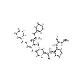 CC(C)(C)OC(=O)Nc1ccccc1NC(=O)c1ccc(CN(CCCN2CCOCC2)C(=O)NC(F)Cc2ccccc2)cc1